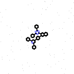 c1ccc(-c2cc(-c3ccc(-c4cc5ccccc5cc4-c4nc(-c5ccccc5)nc(-c5ccccc5)n4)cc3)cc(-c3ccccc3)n2)cc1